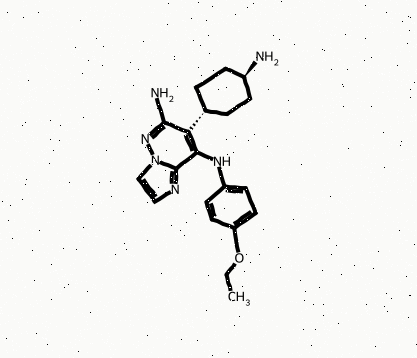 CCOc1ccc(Nc2c3nccn3nc(N)c2[C@H]2CC[C@H](N)CC2)cc1